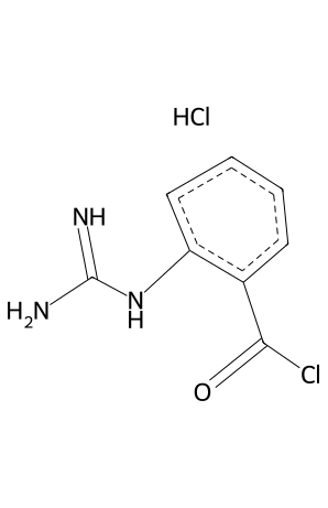 Cl.N=C(N)Nc1ccccc1C(=O)Cl